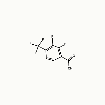 O=C(O)c1ccc(C(F)(F)F)c(F)c1F